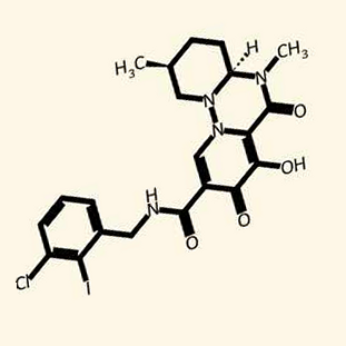 C[C@H]1CC[C@H]2N(C)C(=O)c3c(O)c(=O)c(C(=O)NCc4cccc(Cl)c4I)cn3N2C1